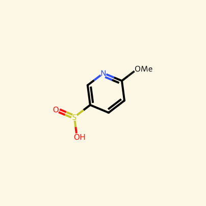 COc1ccc(S(=O)O)cn1